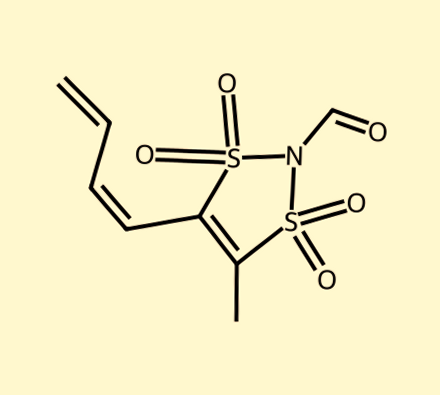 C=C/C=C\C1=C(C)S(=O)(=O)N(C=O)S1(=O)=O